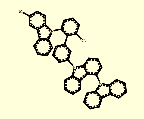 N#Cc1ccc2c(c1)c1ccccc1n2-c1cccc(C#N)c1-c1cccc(-n2c3ccccc3c3c(-n4c5ccccc5c5ccccc54)cccc32)c1